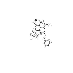 CN(C)CCC(CSc1ccccc1)Nc1ccc(SN)cc1S(=O)(=O)C(F)(F)F